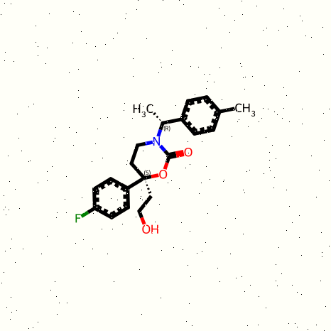 Cc1ccc([C@@H](C)N2CC[C@](CCO)(c3ccc(F)cc3)OC2=O)cc1